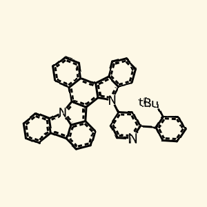 CC(C)(C)c1ccccc1-c1cc(-n2c3ccccc3c3c4ccccc4c4c(c5cccc6c7ccccc7n4c65)c32)ccn1